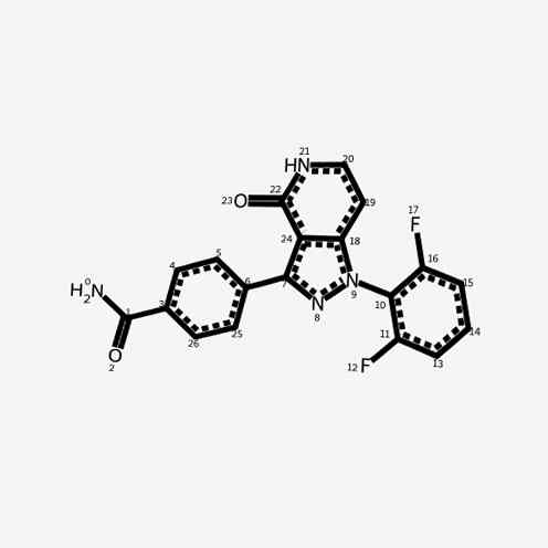 NC(=O)c1ccc(-c2nn(-c3c(F)cccc3F)c3cc[nH]c(=O)c23)cc1